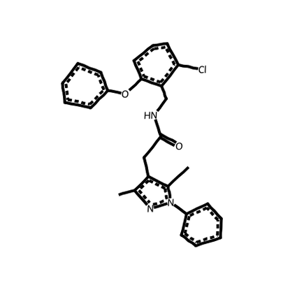 Cc1nn(-c2ccccc2)c(C)c1CC(=O)NCc1c(Cl)cccc1Oc1ccccc1